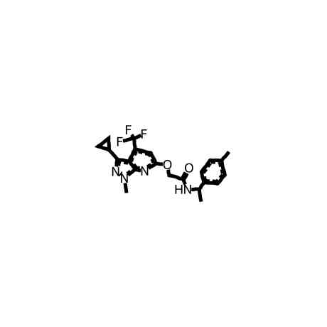 Cc1ccc(C(C)NC(=O)COc2cc(C(F)(F)F)c3c(C4CC4)nn(C)c3n2)cc1